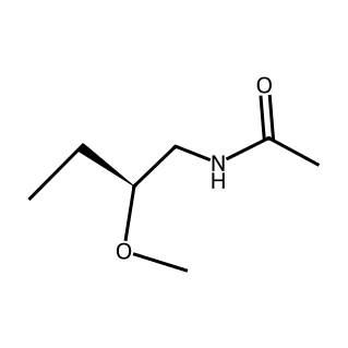 CC[C@@H](CNC(C)=O)OC